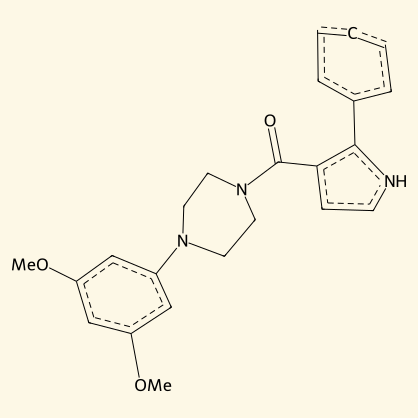 COc1cc(OC)cc(N2CCN(C(=O)c3cc[nH]c3-c3ccccc3)CC2)c1